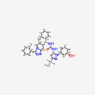 CSC(C)(C)c1cc(NC(=O)NCc2ccccc2Sc2ccc3nnc(-c4ccccc4C)n3c2)n(-c2cccc(O)c2)n1